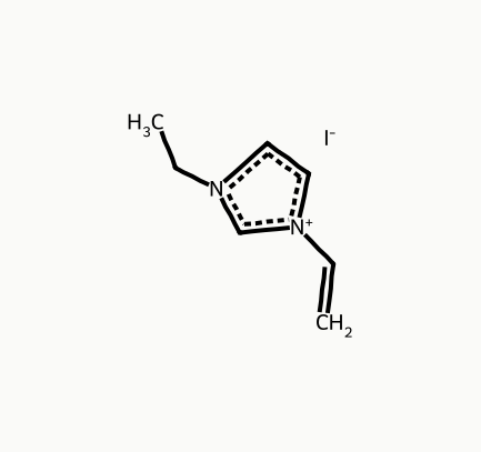 C=C[n+]1ccn(CC)c1.[I-]